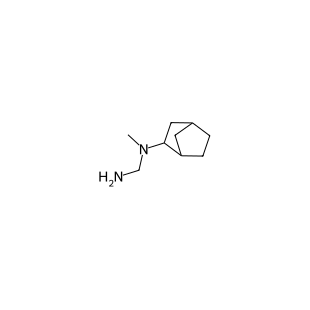 CN(CN)C1CC2CCC1C2